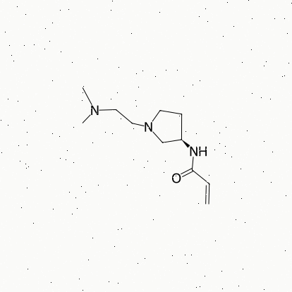 C=CC(=O)N[C@@H]1CCN(CCN(C)C)C1